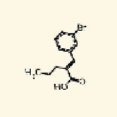 CCC/C(=C\c1cccc(Br)c1)C(=O)O